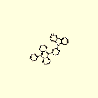 c1ccc(-c2c3ccccc3c(-c3cccc(-n4c5ccccc5c5cnccc54)c3)c3ccccc23)cc1